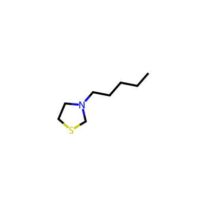 CCCCCN1CCSC1